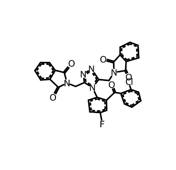 O=C(c1ccccc1Cl)c1cc(F)ccc1-n1c(CN2C(=O)c3ccccc3C2=O)nnc1CN1C(=O)c2ccccc2C1=O